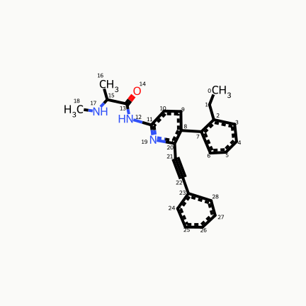 CCc1ccccc1-c1ccc(NC(=O)C(C)NC)nc1C#Cc1ccccc1